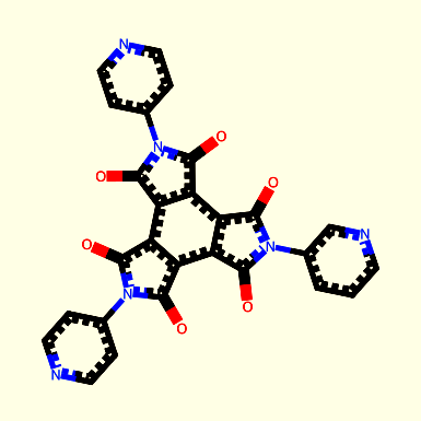 O=c1c2c3c(=O)n(-c4ccncc4)c(=O)c3c3c(=O)n(-c4cccnc4)c(=O)c3c2c(=O)n1-c1ccncc1